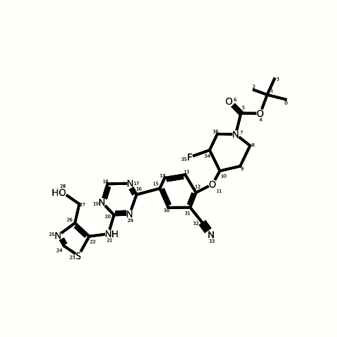 CC(C)(C)OC(=O)N1CCC(Oc2ccc(-c3ncnc(Nc4scnc4CO)n3)cc2C#N)C(F)C1